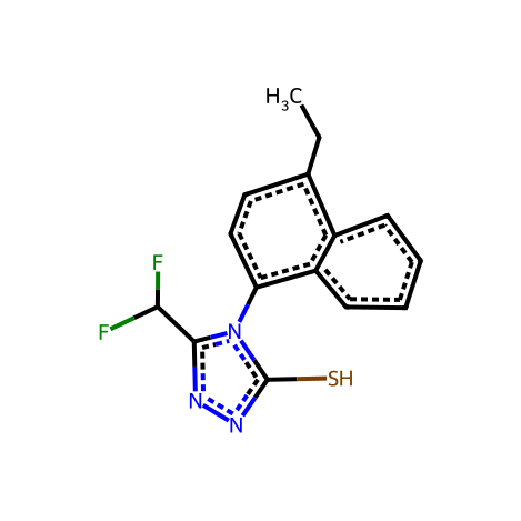 CCc1ccc(-n2c(S)nnc2C(F)F)c2ccccc12